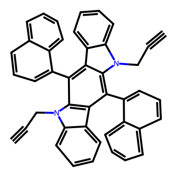 C#CCn1c2ccccc2c2c(-c3cccc4ccccc34)c3c(c(-c4cccc5ccccc45)c21)c1ccccc1n3CC#C